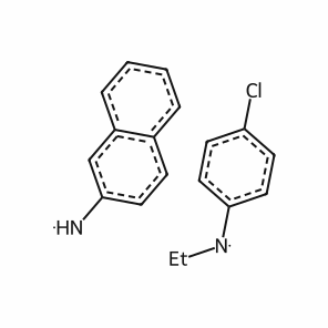 CC[N]c1ccc(Cl)cc1.[NH]c1ccc2ccccc2c1